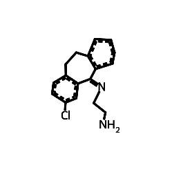 NCCN=C1c2ccccc2CCc2ccc(Cl)cc21